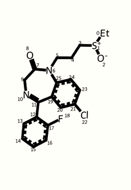 CC[S+]([O-])CCCN1C(=O)CN=C(c2ccccc2F)c2cc(Cl)ccc21